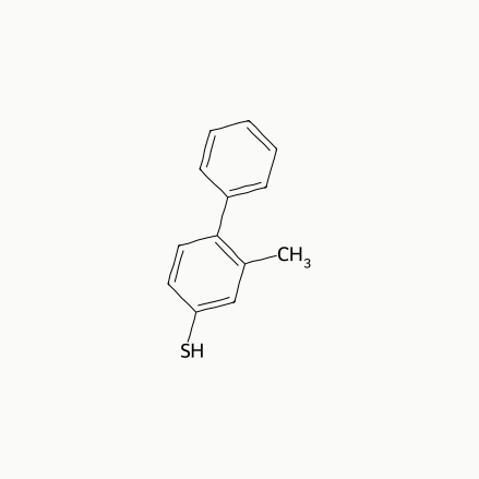 Cc1cc(S)ccc1-c1ccccc1